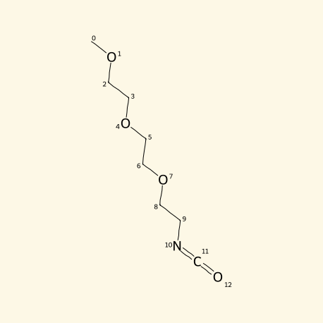 COCCOCCOCCN=C=O